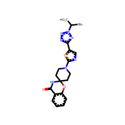 CC(C)(C)C(C(=O)O)n1nnc(-c2cnc(N3CCC4(CC3)NC(=O)c3ccccc3O4)s2)n1